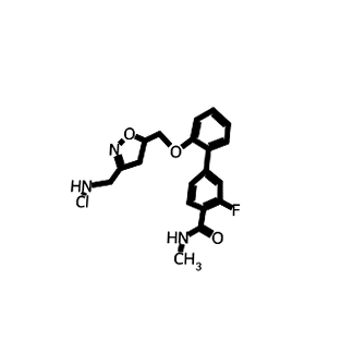 CNC(=O)c1ccc(-c2ccccc2OCC2CC(CNCl)=NO2)cc1F